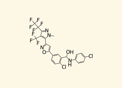 Cn1nc(C(F)(F)C(F)(F)F)c(C(F)(F)F)c1-c1cc(-c2ccc(Cl)c(C(O)Nc3ccc(Cl)cc3)c2)on1